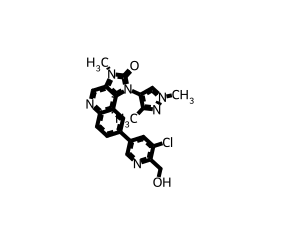 Cc1nn(C)cc1-n1c(=O)n(C)c2cnc3ccc(-c4cnc(CO)c(Cl)c4)cc3c21